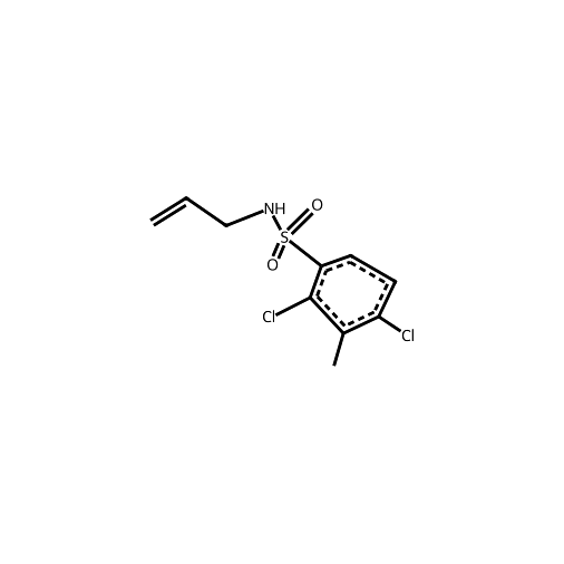 C=CCNS(=O)(=O)c1ccc(Cl)c(C)c1Cl